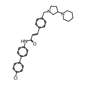 O=C(C=Cc1ccc(CN2CCC(N3CCCCC3)C2)cc1)Nc1ccc(-c2ccc(Cl)cc2)cc1